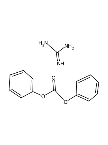 N=C(N)N.O=C(Oc1ccccc1)Oc1ccccc1